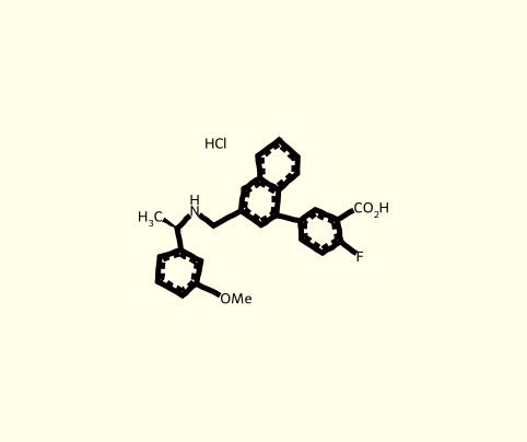 COc1cccc([C@@H](C)NCc2cc(-c3ccc(F)c(C(=O)O)c3)c3ccccc3c2)c1.Cl